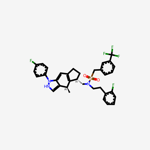 C[C@H]1C2=CNN(c3ccc(F)cc3)C2=CC2=C1[C@@H](CN(CCc1ccccc1F)S(=O)(=O)Cc1cccc(C(F)(F)F)c1)CC2